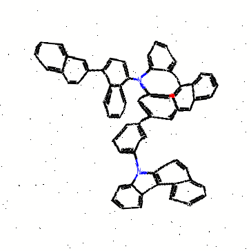 c1cc(-c2cccc(-n3c4ccccc4c4c5ccccc5ccc43)c2)cc(N(c2ccccc2-c2cccc3ccccc23)c2ccc(-c3ccc4ccccc4c3)c3ccccc23)c1